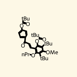 CCCOc1c(C=CC(=O)c2ccc(OC(=O)C(C)(C)C)cc2)c(OC(=O)C(C)(C)C)c(C(C)(C)C)c(OC)c1C(C)(C)C